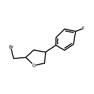 Fc1ccc(C2COC(CBr)C2)cc1